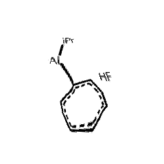 C[CH](C)[Al][c]1ccccc1.F